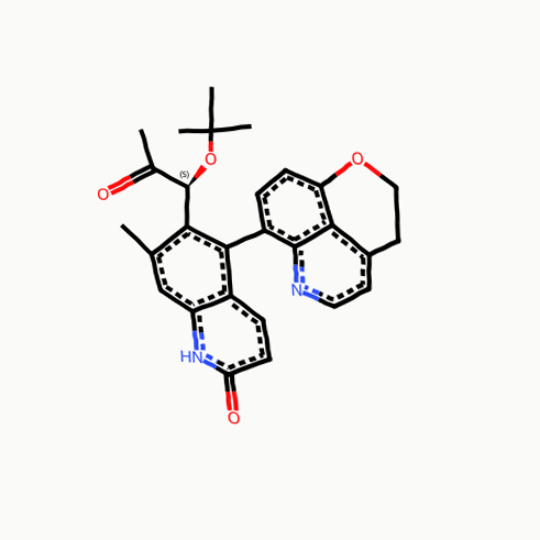 CC(=O)[C@@H](OC(C)(C)C)c1c(C)cc2[nH]c(=O)ccc2c1-c1ccc2c3c(ccnc13)CCO2